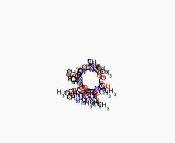 CC[C@H](C)[C@H]1NC(=O)[C@@H](NC(=O)[C@@H](CC(C)C)N(C)C(=O)[C@@H]2CCCN2C(=O)[C@H](C)NC(=O)OC(C)(C)C)[C@@H](C)OC(=O)[C@H](Cc2ccc(OC)cc2)N(C)C(=O)[C@@H]2CCCN2C(=O)[C@H](CC(C)C)NC(=O)[C@H](C(C)C)OC(=O)C[C@@H]1O